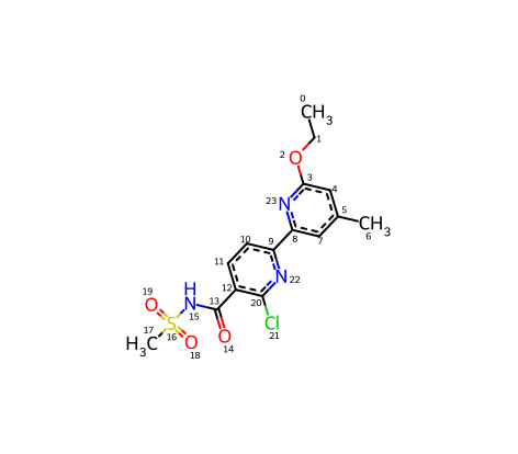 CCOc1cc(C)cc(-c2ccc(C(=O)NS(C)(=O)=O)c(Cl)n2)n1